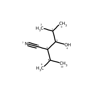 CC(C)C(O)C(C#N)C(C)C